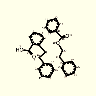 O=C(O)c1ccccc1CCc1ccccc1.O=C(OCCc1ccccc1)c1ccccc1